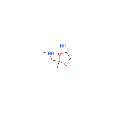 CNCC1(C)OCCO1.N